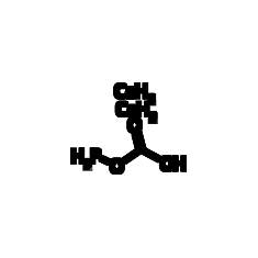 O=C(O)OP.[CaH2].[CaH2]